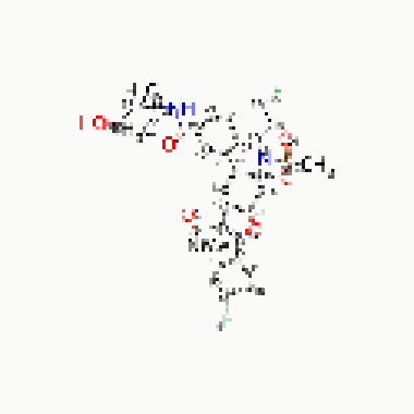 CNC(=O)c1c(-c2ccc(F)cc2)oc2cc(N(CCCF)S(C)(=O)=O)c(-c3cccc(C(=O)NC(C)(C)CCO)c3)cc12